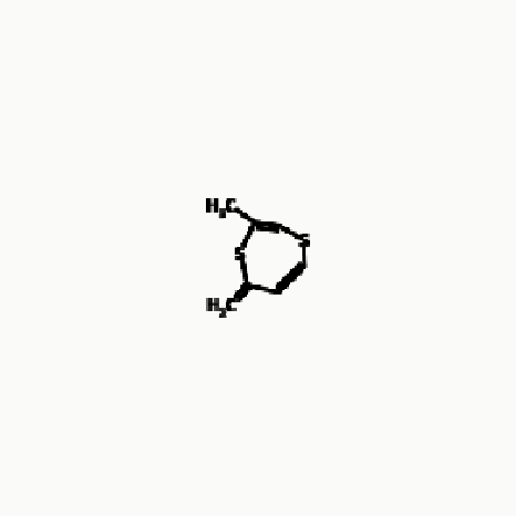 C=C1C=CSC=C(C)S1